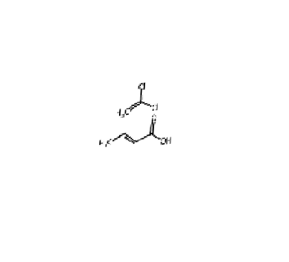 C/C=C/C(=O)O.C=C(Cl)Cl